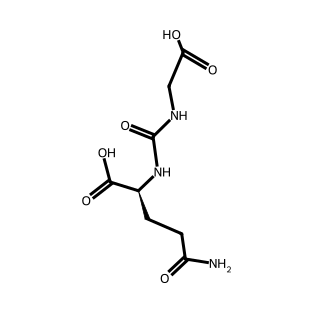 NC(=O)CC[C@H](NC(=O)NCC(=O)O)C(=O)O